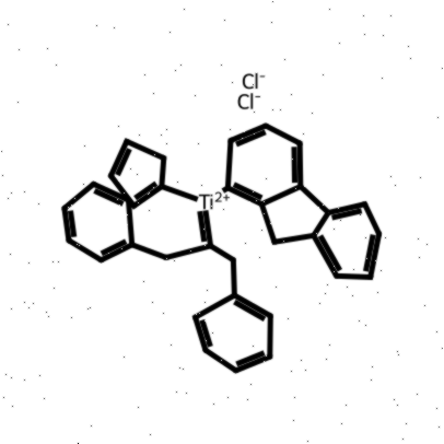 C1=CC[C]([Ti+2](=[C](Cc2ccccc2)Cc2ccccc2)[c]2cccc3c2Cc2ccccc2-3)=C1.[Cl-].[Cl-]